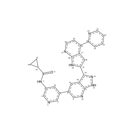 O=C(Nc1cncc(-c2cnc3[nH]nc(-c4cc5c(-c6ccccn6)ccnc5[nH]4)c3c2)c1)C1CC1